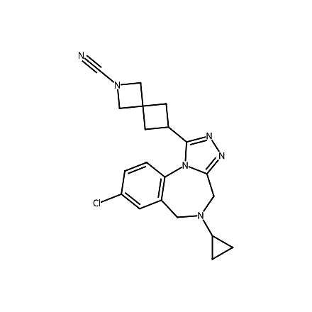 N#CN1CC2(CC(c3nnc4n3-c3ccc(Cl)cc3CN(C3CC3)C4)C2)C1